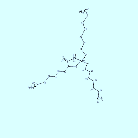 CCCCCCCC[Si](CCCCCCCC)(CCCCCCCC)NC=O